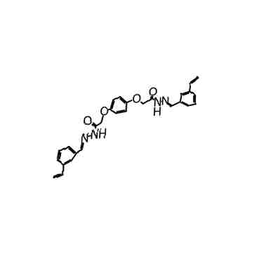 C=Cc1cccc(/C=N/NC(=O)COc2ccc(OCC(=O)N/N=C/c3cccc(C=C)c3)cc2)c1